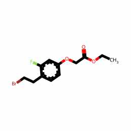 CCOC(=O)COc1ccc(CCBr)c(F)c1